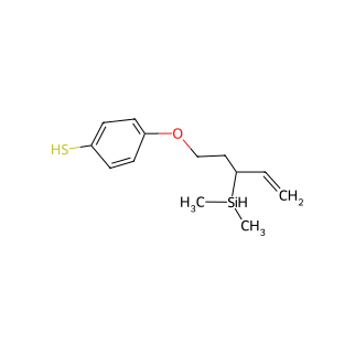 C=CC(CCOc1ccc(S)cc1)[SiH](C)C